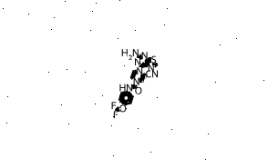 N#C[C@H]1CN(C(=O)Nc2ccc(OC(F)F)cc2)CCN1c1nc(N)nc2scnc12